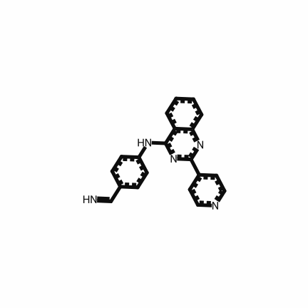 N=Cc1ccc(Nc2nc(-c3ccncc3)nc3ccccc23)cc1